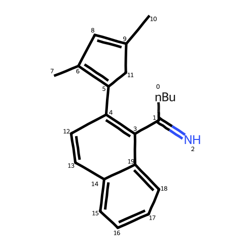 CCCCC(=N)c1c(C2=C(C)C=C(C)C2)ccc2ccccc12